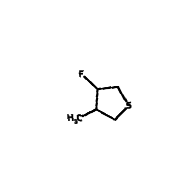 CC1CSCC1F